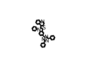 c1ccc(-c2nc(-c3ccccc3)nc(-c3ccc4c(c3)c3sc5cnc6ccccc6c5c3n4-c3ccccc3)n2)cc1